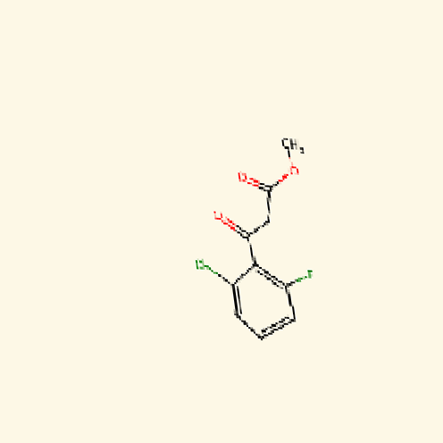 COC(=O)CC(=O)c1c(F)cccc1Cl